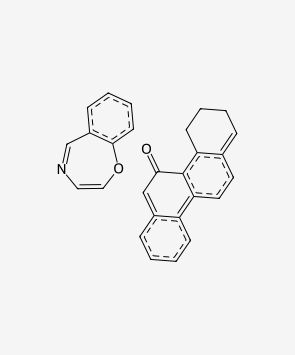 C1=COc2ccccc2C=N1.O=C1C=c2ccccc2=c2ccc3c(c21)CCCC=3